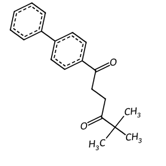 CC(C)(C)C(=O)CCC(=O)c1ccc(-c2ccccc2)cc1